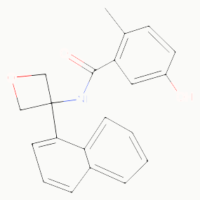 Cc1ccc(O)cc1C(=O)NC1(c2cccc3ccccc23)COC1